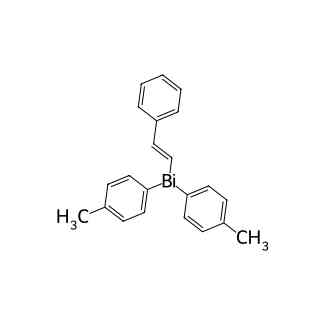 Cc1cc[c]([Bi]([CH]=Cc2ccccc2)[c]2ccc(C)cc2)cc1